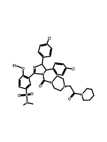 CCOc1ccc(S(=O)(=O)N(C)C)cc1C1=NC(c2ccc(Cl)cc2)C(c2ccc(Cl)cc2)N1C(=O)N1CCN(CC(=O)N2CCCCC2)CC1